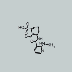 NNc1ncccc1C(=O)Nc1cccc(S(=O)(=O)O)c1C=O